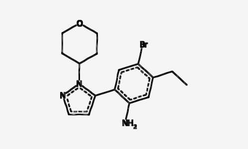 CCc1cc(N)c(-c2ccnn2C2CCOCC2)cc1Br